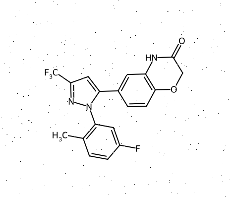 Cc1ccc(F)cc1-n1nc(C(F)(F)F)cc1-c1ccc2c(c1)NC(=O)CO2